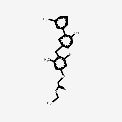 CCOC(=O)COc1cc(C)c(Cc2ccc(O)c(-c3cccc(C)c3)c2)c(Br)c1